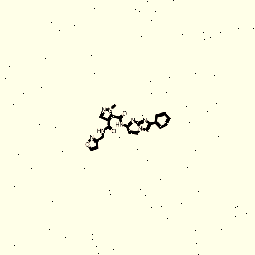 Cn1ncc(C(=O)NCc2ccon2)c1C(=O)Nc1ccn2cc(-c3ccccc3)nc2n1